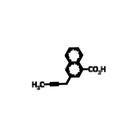 CC#CCc1cc(C(=O)O)c2ccccc2c1